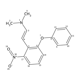 CN(C)C=Cc1c(Oc2ccccc2)cccc1[N+](=O)[O-]